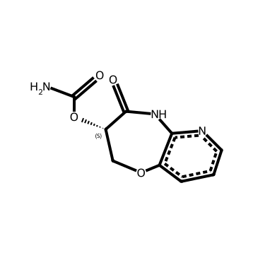 NC(=O)O[C@H]1COc2cccnc2NC1=O